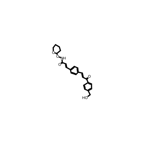 O=C(C=Cc1ccc(C=CC(=O)c2ccc(CO)cc2)cc1)NOC1CCCCO1